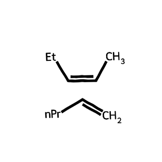 C/C=C\CC.C=CCCC